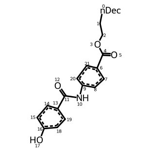 CCCCCCCCCCCCOC(=O)c1ccc(NC(=O)c2ccc(O)cc2)cc1